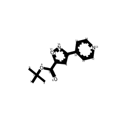 CC(C)(C)OC(=O)c1cc(-c2ccncc2)no1